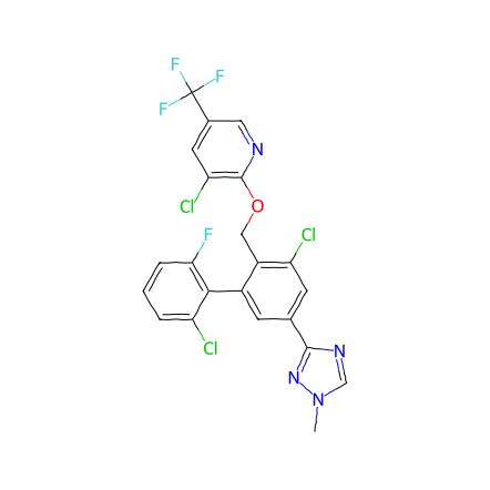 Cn1cnc(-c2cc(Cl)c(COc3ncc(C(F)(F)F)cc3Cl)c(-c3c(F)cccc3Cl)c2)n1